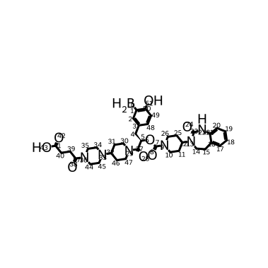 Bc1cc(C[C@@H](OC(=O)N2CCC(N3CCc4ccccc4NC3=O)CC2)C(=O)N2CCC(N3CCN(C(=O)CCC(=O)O)CC3)CC2)ccc1O